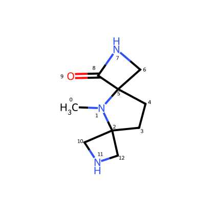 CN1C2(CCC13CNC3=O)CNC2